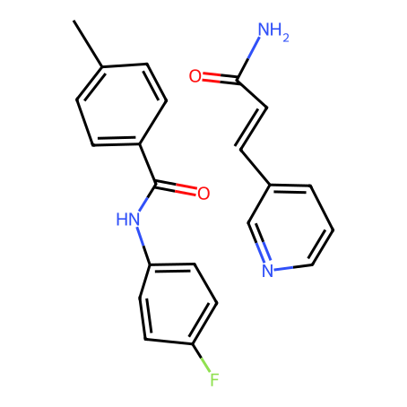 Cc1ccc(C(=O)Nc2ccc(F)cc2)cc1.NC(=O)C=Cc1cccnc1